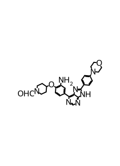 Nc1cc(-c2ncnc3[nH]c(-c4ccc(N5CCOCC5)cc4)nc23)ccc1OC1CCN(C=O)CC1